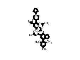 Cc1cc(C)c(-c2cc([C@H](CC(=O)O)NC(=O)[C@@H](CC(C)C)n3cc(C4CCN(C5CCCC5)CC4)c(C(F)(F)F)cc3=O)cc3c2CCC3)c(C)c1